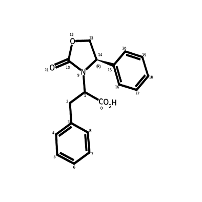 O=C(O)C(Cc1ccccc1)N1C(=O)OC[C@H]1c1ccccc1